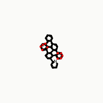 c1ccc(-c2ccc(-c3ccccn3)c(-c3ccccn3)c2-c2c(-c3ccccc3)ccc3c4ccccc4c4ccccc4c23)cc1